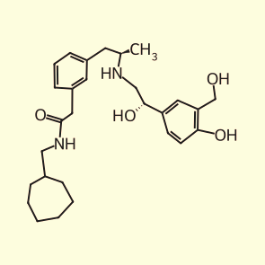 C[C@H](Cc1cccc(CC(=O)NCC2CCCCCC2)c1)NC[C@@H](O)c1ccc(O)c(CO)c1